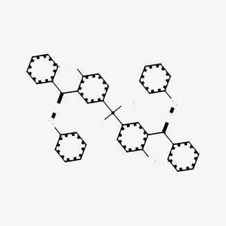 CC(C)COc1ccc(C(C)(C)c2ccc(OCC(C)C)c(C(=C=Nc3ccccc3)c3ccccc3)c2)cc1C(=C=Nc1ccccc1)c1ccccc1